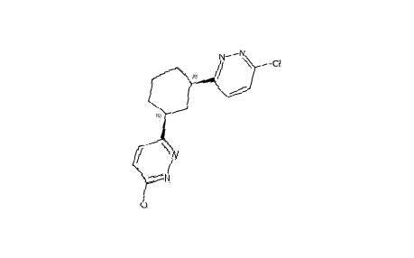 Clc1ccc([C@@H]2CCC[C@H](c3ccc(Cl)nn3)C2)nn1